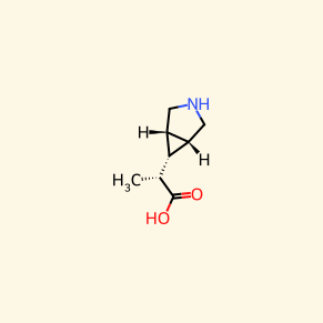 C[C@@H](C(=O)O)[C@@H]1[C@@H]2CNC[C@@H]21